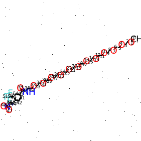 COCCOCCOCCOCCOCCOCCOCCOCCOCCOCCOCCOCCNC(=O)c1ccc(/C=C/[N+](=O)[O-])c(C(F)(F)F)c1